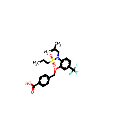 C=C(C)CN(c1ccc(C(F)(F)F)cc1OCc1ccc(C(=O)O)cc1)S(=O)(=O)CCC